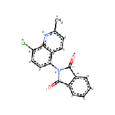 Cc1ccc2c(N3C(=O)c4ccccc4C3=O)ccc(Cl)c2n1